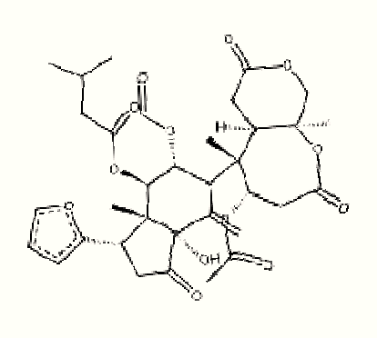 C=C1[C@H]([C@@]2(C)[C@@H](OC(C)=O)CC(=O)O[C@]3(C)COC(=O)C[C@H]23)[C@@H](OC=O)[C@H](OC(=O)CC(C)C)[C@@]2(C)[C@@H](c3ccco3)CC(=O)[C@]12O